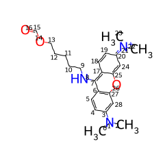 CN(C)c1ccc2c(NCCCCCOC=O)c3ccc(=[N+](C)C)cc-3oc2c1